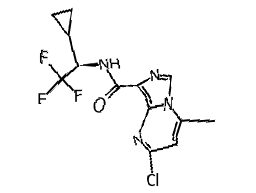 Cc1cc(Cl)nc2c(C(=O)N[C@H](C3CC3)C(F)(F)F)ncn12